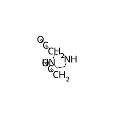 C1CNCCN1.C=C=O.C=C=O